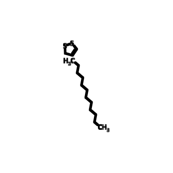 C1=CSSC1.CCCCCCCCCCCC